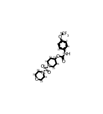 O=C(Nc1ccc(OC(F)(F)F)cc1)OC1CCN(S(=O)(=O)N2CCOCC2)CC1